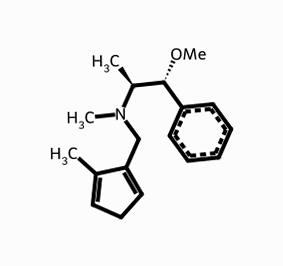 CO[C@H](c1ccccc1)[C@H](C)N(C)CC1=CCC=C1C